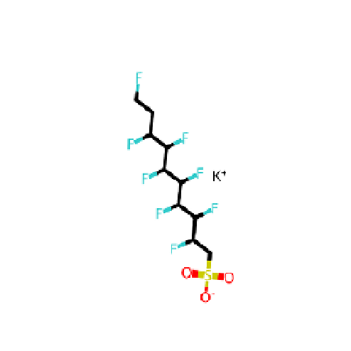 O=S(=O)([O-])CC(F)C(F)C(F)C(F)C(F)C(F)C(F)CCF.[K+]